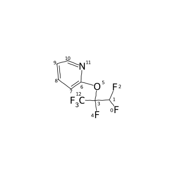 FC(F)C(F)(Oc1ccccn1)C(F)(F)F